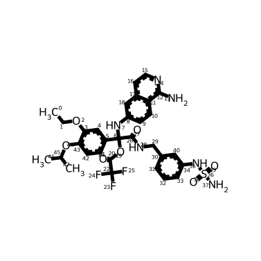 CCOc1cc(C(Nc2ccc3c(N)nccc3c2)(OC(=O)C(F)(F)F)C(=O)NCc2cccc(NS(N)(=O)=O)c2)ccc1OC(C)C